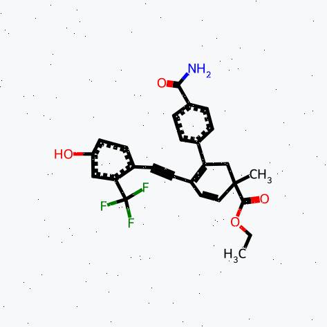 CCOC(=O)C1(C)C=CC(C#Cc2ccc(O)cc2C(F)(F)F)=C(c2ccc(C(N)=O)cc2)C1